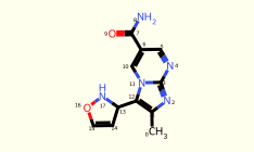 Cc1nc2ncc(C(N)=O)cn2c1C1C=CON1